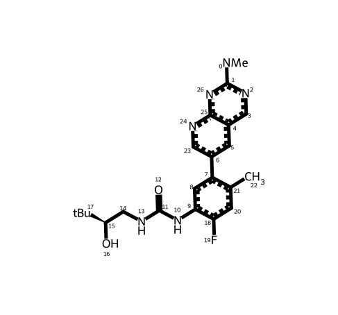 CNc1ncc2cc(-c3cc(NC(=O)NC[C@@H](O)C(C)(C)C)c(F)cc3C)cnc2n1